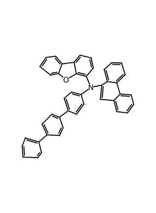 c1ccc(-c2ccc(-c3ccc(N(c4cc5ccccc5c5ccccc45)c4cccc5c4oc4ccccc45)cc3)cc2)cc1